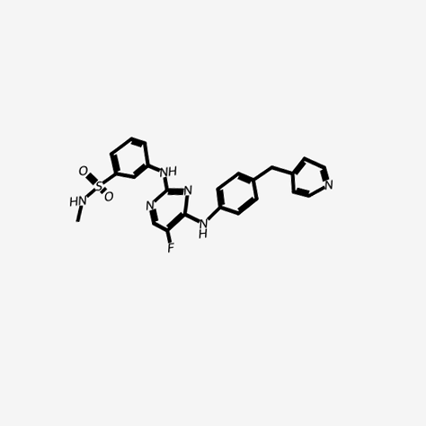 CNS(=O)(=O)c1cccc(Nc2ncc(F)c(Nc3ccc(Cc4ccncc4)cc3)n2)c1